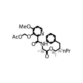 CCC[C@@H](Cc1ccccc1)[C@H](C)OC(=O)[C@H](C)NC(=O)c1nccc(OC)c1OCOC(C)=O